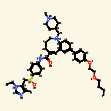 CCCCOCCOc1ccc(-c2ccc3c(c2)/C=C(/C(=O)Nc2ccc([S+]([O-])Cc4c(C)ncn4CC)cc2)CCCN3CC2CCN(C)CC2)cc1